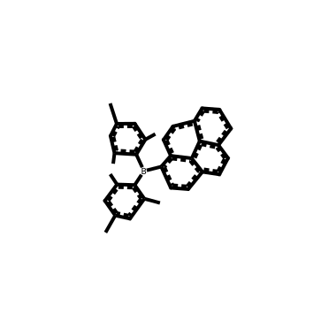 Cc1cc(C)c(B(c2c(C)cc(C)cc2C)c2ccc3ccc4cccc5ccc2c3c45)c(C)c1